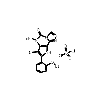 CCCn1c(=O)n2cnnc2c2[nH]c(-c3ccccc3OCC)c(Cl)c21.O=S(=O)(Cl)Cl